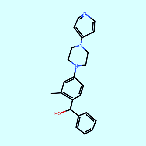 Cc1cc(N2CCN(c3ccncc3)CC2)ccc1C(O)c1ccccc1